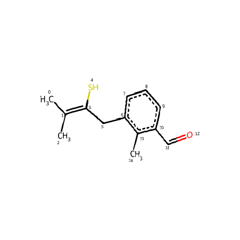 CC(C)=C(S)Cc1cccc(C=O)c1C